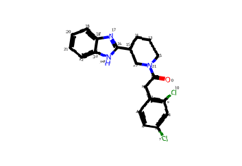 O=C(Cc1ccc(Cl)cc1Cl)N1CCCC(c2nc3ccccc3[nH]2)C1